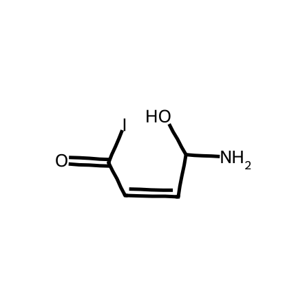 NC(O)/C=C\C(=O)I